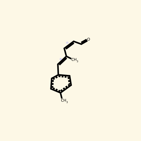 CC(/C=C\C=O)=C\c1ccc(C)cc1